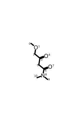 COCC(=O)CC(=O)N(C)C